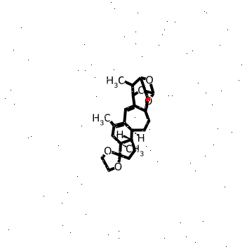 CC1=C2C=C3C4OC5OC(CC3(CC[C@H]2[C@@H]2CCC3(OCCO3)[C@@]2(C)C1)O5)C4C